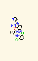 Cn1c(Nc2c(Cl)cccc2Cl)nc2ccc3nc(-c4cccnc4)[nH]c(=O)c3c21